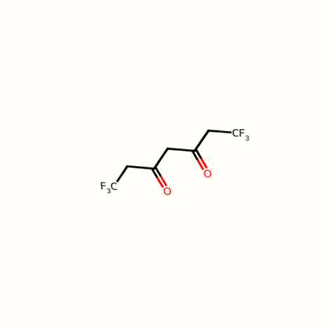 O=C(CC(=O)CC(F)(F)F)CC(F)(F)F